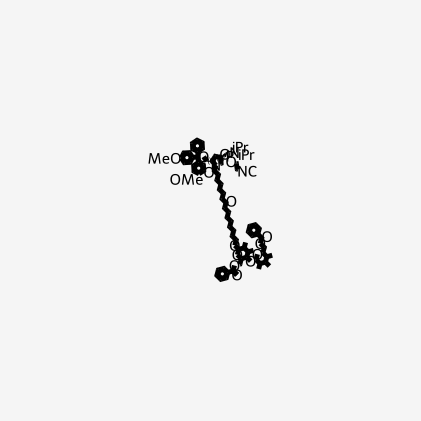 [C-]#[N+]CCOP(O[C@@H]1C[C@@H](COC(c2ccccc2)(c2ccc(OC)cc2)c2ccc(OC)cc2)N(C(=O)CCCCCCC(=O)CCCCCCCCOC2OC(COC(=O)c3ccccc3)C(OC3OC(COC(=O)c4ccccc4)C(C)C(C)C3C)C(C)C2C)C1)N(C(C)C)C(C)C